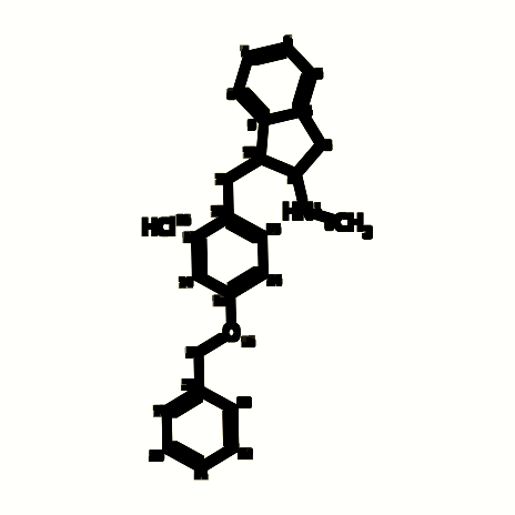 CNC1Cc2ccccc2C1Cc1ccc(OCc2ccccc2)cc1.Cl